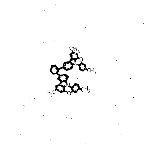 Cc1ccc2c(c1)Oc1cc(C)cc3c4cc(-c5ccccc5-c5ccc6c(c5)c5cc(C)cc7c5n6-c5ccc(C)cc5O7)ccc4n-2c13